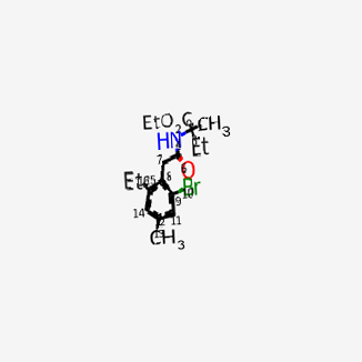 CCOC(=O)C(C)(CC)NC(=O)Cc1c(Br)cc(C)cc1CC